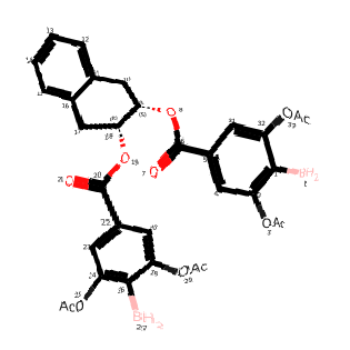 Bc1c(OC(C)=O)cc(C(=O)O[C@H]2Cc3ccccc3C[C@H]2OC(=O)c2cc(OC(C)=O)c(B)c(OC(C)=O)c2)cc1OC(C)=O